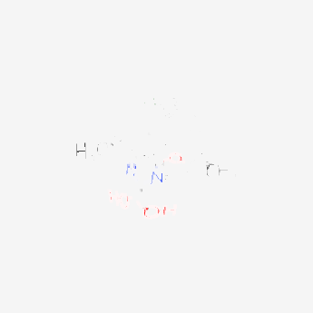 CCCOc1nc(C(O)O)nc(CC)c1CC1CC=CC=C1Cl